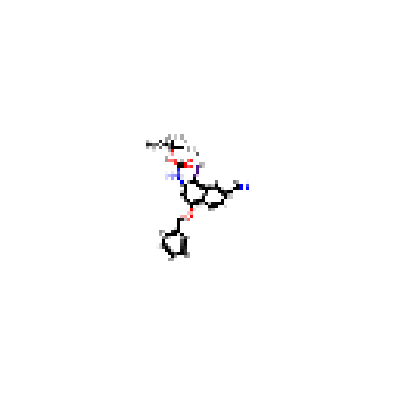 CC(C)(C)OC(=O)Nc1cc(OCc2ccccc2)c2ccc(C#N)cc2c1I